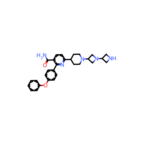 NC(=O)c1ccc(C2CCN(C3CN(C4CNC4)C3)CC2)nc1-c1ccc(Oc2ccccc2)cc1